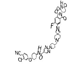 N#Cc1ccc(O[C@H]2CC[C@H](NC(=O)c3cnc(N4CCC(CN5CCC6(CC5)CN(c5cc7c(cc5F)C(=O)N(C5CCC(=O)NC5=O)C7=O)C6)CC4)nc3)CC2)cc1Cl